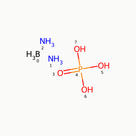 B.N.N.O=P(O)(O)O